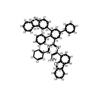 CCC/C=C(/N=C(\N=C(/C)C1=CCCC=C1)c1cc(-c2ccccc2)cc(-c2ccc3sc4ccccc4c3c2)c1-c1ccccc1)c1cccc2c1oc1ccccc12